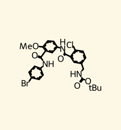 COc1ccc(NC(=O)c2cc(CNC(=O)OC(C)(C)C)ccc2Cl)cc1C(=O)Nc1ccc(Br)cc1